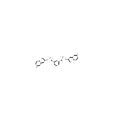 Cc1ccc2ncc(-c3nnc(-c4cccc(-c5nnc(-c6cnc7ccc(C)cc7c6)o5)c4)o3)cc2c1